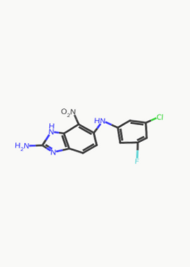 Nc1nc2ccc(Nc3cc(F)cc(Cl)c3)c([N+](=O)[O-])c2[nH]1